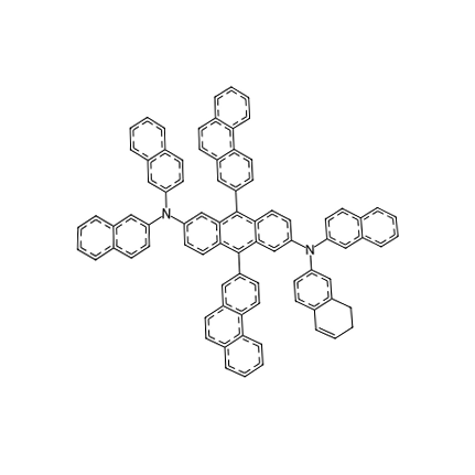 C1=Cc2ccc(N(c3ccc4ccccc4c3)c3ccc4c(-c5ccc6c(ccc7ccccc76)c5)c5cc(N(c6ccc7ccccc7c6)c6ccc7ccccc7c6)ccc5c(-c5ccc6c(ccc7ccccc76)c5)c4c3)cc2CC1